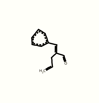 C=CC/C(C=O)=C\c1ccccc1